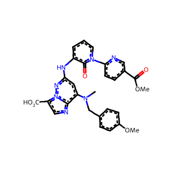 COC(=O)c1ccc(-n2cccc(Nc3cc(N(C)Cc4ccc(OC)cc4)c4ncc(C(=O)O)n4n3)c2=O)nc1